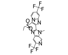 CCS(=O)(=O)c1c(-c2nc3cc(C(F)(F)F)ncc3n2C)nc2cc(C(F)(F)F)ccn12